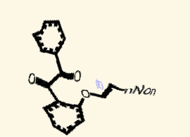 CCCCCCCCC/C=C/Oc1ccccc1C(=O)C(=O)c1ccccc1